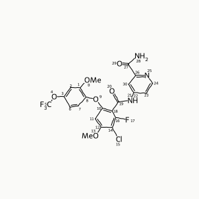 COc1cc(OC(F)(F)F)ccc1Oc1cc(OC)c(Cl)c(F)c1C(=O)Nc1ccnc(C(N)=O)c1